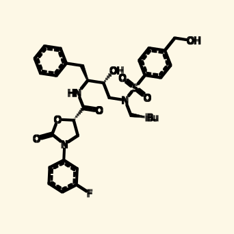 CC[C@H](C)CN(C[C@@H](O)[C@H](Cc1ccccc1)NC(=O)[C@@H]1CN(c2cccc(F)c2)C(=O)O1)S(=O)(=O)c1ccc(CO)cc1